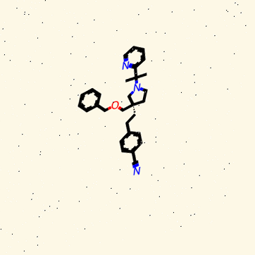 CC(C)(c1ccccn1)N1CC[C@@](CCc2ccc(C#N)cc2)(COCc2ccccc2)C1